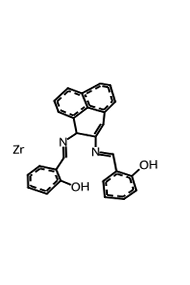 Oc1ccccc1C=NC1=Cc2cccc3cccc(c23)C1N=Cc1ccccc1O.[Zr]